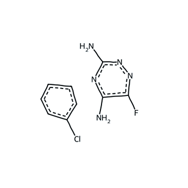 Clc1ccccc1.Nc1nnc(F)c(N)n1